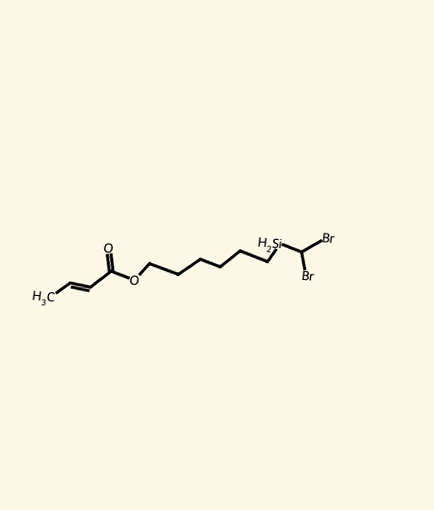 CC=CC(=O)OCCCCCC[SiH2]C(Br)Br